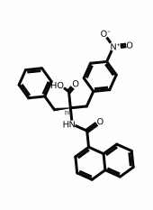 O=C(N[C@@](Cc1ccccc1)(Cc1ccc([N+](=O)[O-])cc1)C(=O)O)c1cccc2ccccc12